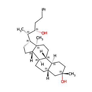 CC(C)CC[C@H](O)[C@@H](C)[C@H]1CC[C@H]2[C@@H]3CC[C@H]4C[C@@](C)(O)CC[C@@H]4[C@H]3CC[C@]12C